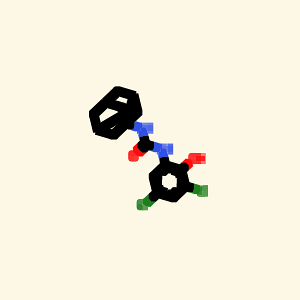 O=C(Nc1cc(Cl)cc(Cl)c1O)NC12CC3CC(CC(C3)C1)C2